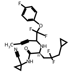 CC#CC(N[C@@H](CC(F)(F)CC1CC1)C(=O)NC1(C#N)CC1)C(F)(F)Oc1ccc(F)cc1